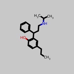 CCCc1ccc(O)c(C(CCNC(C)C)c2ccccc2)c1